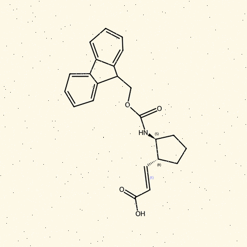 O=C(O)/C=C/[C@H]1CCC[C@@H]1NC(=O)OCC1c2ccccc2-c2ccccc21